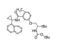 Cc1ccc(OCC(NC(=O)OC(C)(C)C)C(C)(C)C)cc1C(=O)NC1(c2cccc3ccccc23)CC1